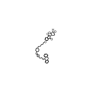 O=C1CCC(N2C(=O)c3ccc(OCCCCCN4CCC(OC5CN(CCCN6c7ccccc7Sc7ccccc76)C5)CC4)cc3C2=O)C(=O)N1